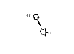 Nc1cccc(C#Cc2ccnc(Cl)n2)c1